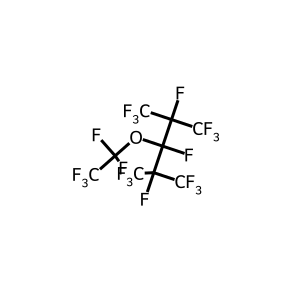 FC(F)(F)C(F)(F)OC(F)(C(F)(C(F)(F)F)C(F)(F)F)C(F)(C(F)(F)F)C(F)(F)F